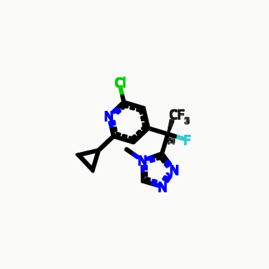 Cn1cnnc1[C@@](F)(c1cc(Cl)nc(C2CC2)c1)C(F)(F)F